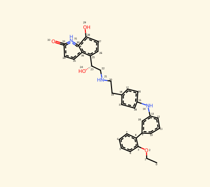 CCOc1ccccc1-c1cccc(Nc2ccc(CCNC[C@H](O)c3ccc(O)c4[nH]c(=O)ccc34)cc2)c1